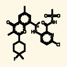 Cc1cc([C@@H](C)Nc2ccc(Cl)nc2C(=O)NS(C)(=O)=O)c2oc(C3CCC(C)(F)CC3)c(C)c(=O)c2c1